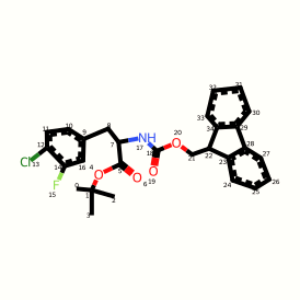 CC(C)(C)OC(=O)C(Cc1ccc(Cl)c(F)c1)NC(=O)OCC1c2ccccc2-c2ccccc21